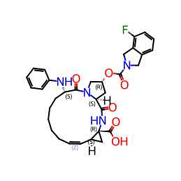 O=C1N[C@]2(C(=O)O)C[C@H]2/C=C\CCCCC[C@H](Nc2ccccc2)C(=O)N2C[C@H](OC(=O)N3Cc4cccc(F)c4C3)C[C@@H]12